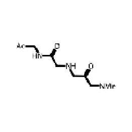 CNCC(=O)CNCC(=O)NCC(C)=O